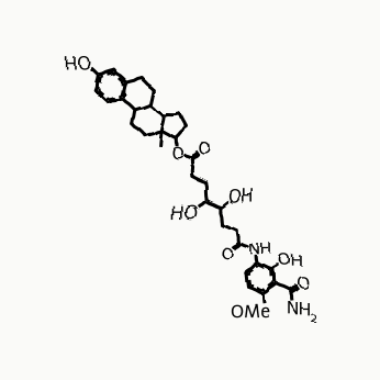 COc1ccc(NC(=O)CCC(O)C(O)CCC(=O)OC2CCC3C4CCc5cc(O)ccc5C4CCC23C)c(O)c1C(N)=O